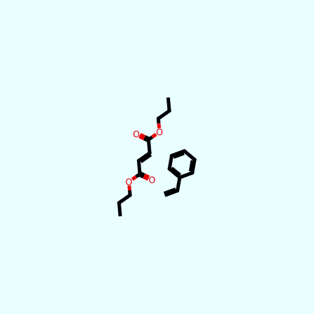 C=Cc1ccccc1.CCCOC(=O)C=CC(=O)OCCC